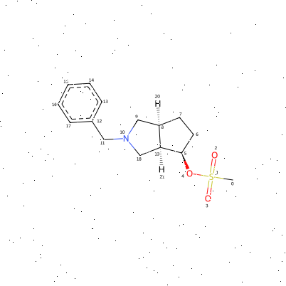 CS(=O)(=O)O[C@@H]1CC[C@@H]2CN(Cc3ccccc3)C[C@@H]21